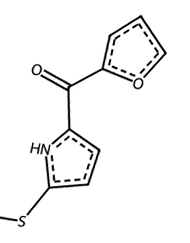 CSc1ccc(C(=O)c2ccco2)[nH]1